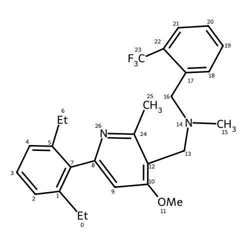 CCc1cccc(CC)c1-c1cc(OC)c(CN(C)Cc2ccccc2C(F)(F)F)c(C)n1